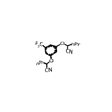 CCCC(C#N)Oc1cc(OC(C#N)CCC)cc(C(F)(F)F)c1